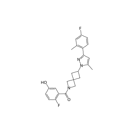 Cc1cc(F)ccc1-c1cc(C)n(C2CC3(C2)CN(C(=O)c2cc(O)ccc2F)C3)n1